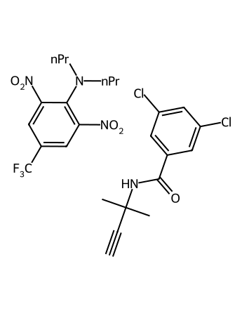 C#CC(C)(C)NC(=O)c1cc(Cl)cc(Cl)c1.CCCN(CCC)c1c([N+](=O)[O-])cc(C(F)(F)F)cc1[N+](=O)[O-]